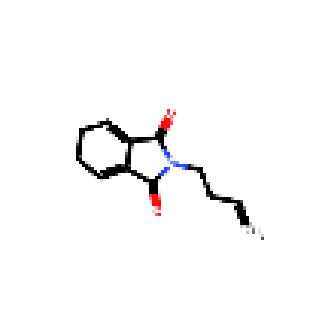 C=CCCN1C(=O)C2=CCCC=C2C1=O